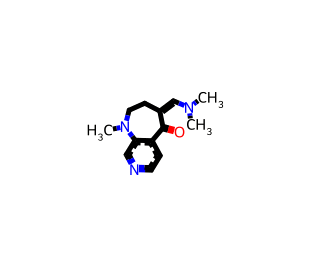 CN(C)/C=C1/CCN(C)c2cnccc2C1=O